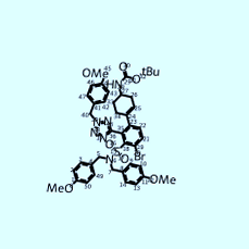 COc1ccc(CN(Cc2ccc(OC)cc2)S(=O)(=O)c2c(Br)ccc(C3=CCC(NC(=O)OC(C)(C)C)CC3)c2-c2nnn(Cc3ccc(OC)cc3)n2)cc1